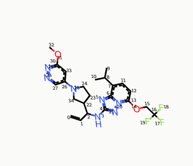 C=CC(Nc1nc2c(C(C)C)ccc(OCC(F)(F)F)n2n1)C1CCN(c2cnnc(OC)c2)C1